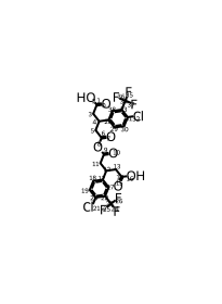 O=C(O)CC(CC(=O)OC(=O)CC(CC(=O)O)c1ccc(Cl)c(C(F)(F)F)c1)c1ccc(Cl)c(C(F)(F)F)c1